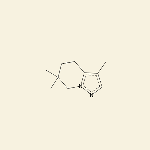 Cc1cnn2c1CCC(C)(C)C2